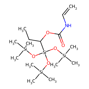 C=CNC(=O)OC(CC)[Si](O[Si](C)(C)C)(O[Si](C)(C)C)O[Si](C)(C)C